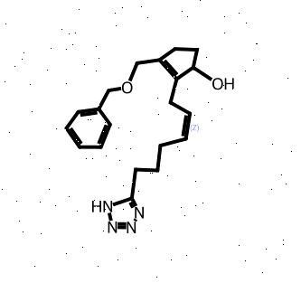 OC1CCC(COCc2ccccc2)=C1C/C=C\CCCc1nnn[nH]1